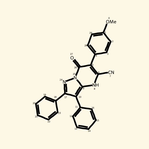 COc1ccc(-c2c(C#N)[nH]c3c(-c4ccccc4)c(-c4ccccc4)nn3c2=O)cc1